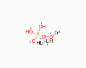 O=P(O)(O)O.[LiH].[LiH].[O]=[Ti]